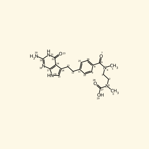 CN(CCN(C)C(=O)c1ccc(CCc2c[nH]c3nc(N)[nH]c(=O)c23)cc1)C(=O)O